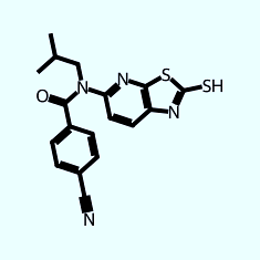 CC(C)CN(C(=O)c1ccc(C#N)cc1)c1ccc2nc(S)sc2n1